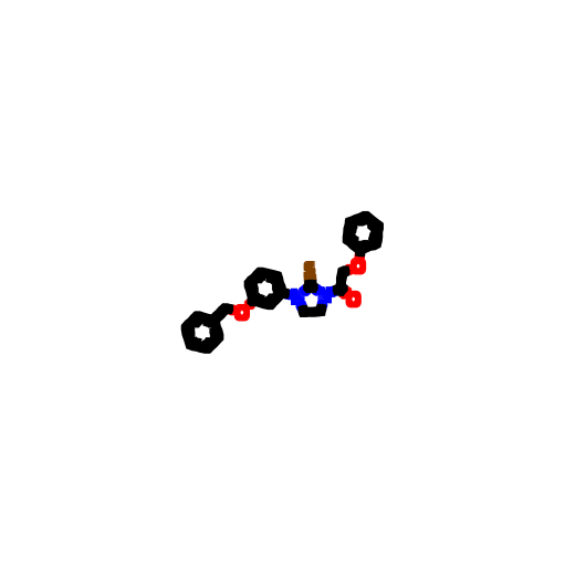 O=C(COc1ccccc1)N1CCN(c2cccc(OCc3ccccc3)c2)C1=S